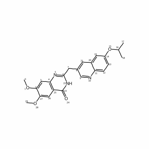 COc1cc2nc(Cc3cnc4ccc(OC(C)C)cc4c3)[nH]c(=O)c2cc1OC